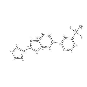 CC(C)(O)c1cccc(-c2ccc3nc(-c4nccs4)cn3c2)c1